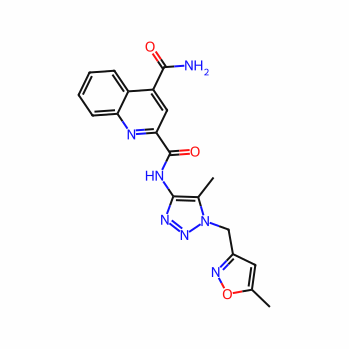 Cc1cc(Cn2nnc(NC(=O)c3cc(C(N)=O)c4ccccc4n3)c2C)no1